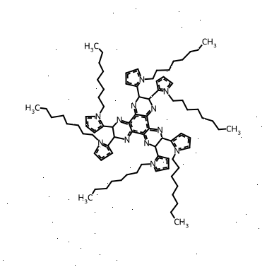 CCCCCCCCn1cccc1C1N=c2c3c(c4c(c2=NC1c1cccn1CCCCCCCC)=NC(c1cccn1CCCCCCCC)C(c1cccn1CCCCCCCC)N=4)=NC(c1cccn1CCCCCCCC)C(c1cccn1CCCCCCCC)N=3